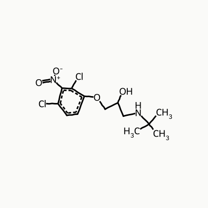 CC(C)(C)NCC(O)COc1ccc(Cl)c([N+](=O)[O-])c1Cl